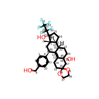 C[C@]12C[C@H](c3ccc(CO)cc3)C3=C4CCC5(C[C@]4(O)CC[C@H]3[C@@H]1CC[C@]2(O)C(F)(F)C(F)(F)F)OCCO5